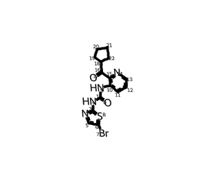 O=C(Nc1ncc(Br)s1)Nc1cccnc1C(=O)C1CCCC1